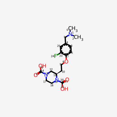 CN(C)Cc1ccc(OCC[C@@H]2CN(C(=O)O)CCN2C(=O)O)c(F)c1